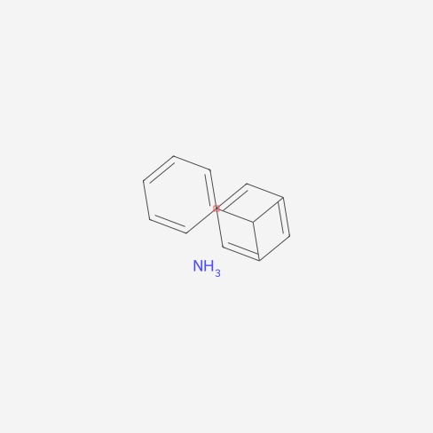 C1=CC2=CC(=C1)C2c1ccccc1.N